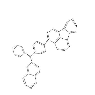 c1ccc(N(c2ccc(-c3ccc4c5c(cccc35)-c3ccccc3-4)cc2)c2ccc3cnccc3c2)cc1